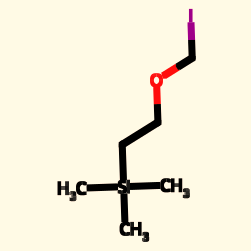 C[Si](C)(C)CCOCI